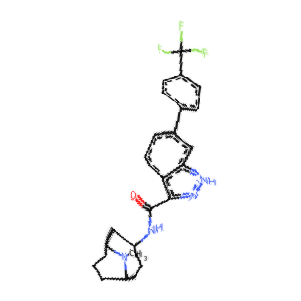 CN1C2CCC1CC(NC(=O)c1n[nH]c3cc(-c4ccc(C(F)(F)F)cc4)ccc13)C2